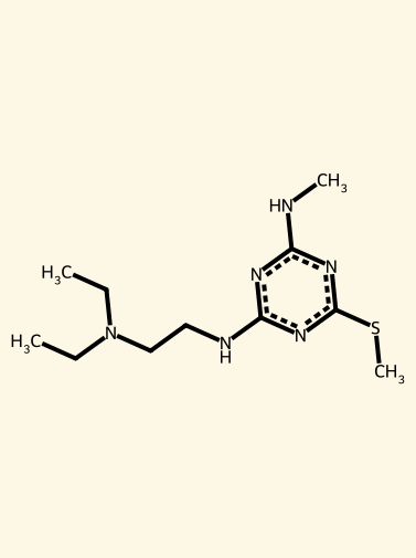 CCN(CC)CCNc1nc(NC)nc(SC)n1